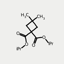 CC(C)OC(=O)C1(C(=O)OC(C)C)CC(C)(C)C1